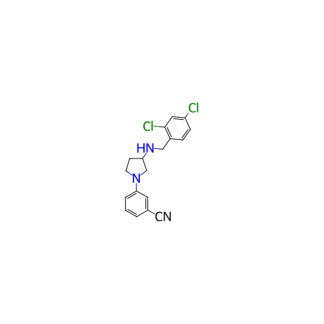 N#Cc1cccc(N2CCC(NCc3ccc(Cl)cc3Cl)C2)c1